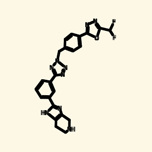 FC(F)c1nnc(-c2ccc(Cn3nnc(-c4cccc(-c5nc6c([nH]5)CCNC6)c4)n3)cc2)o1